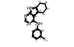 Fc1cccc(Nc2ncnc3[nH]c4c(c23)CCCC4)c1